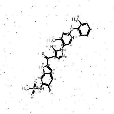 Cc1ccccc1Oc1cc(C)c(-n2ncc(C(=O)c3cc4cc(F)c(NS(C)(=O)=O)cc4[nH]3)c2N)cn1